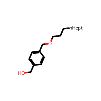 CCCCCCCCCCOCc1ccc(CO)cc1